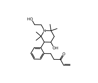 C=CC(=O)CCc1ccccc1C1C(O)CC(C)(C)N(CCO)C1(C)C